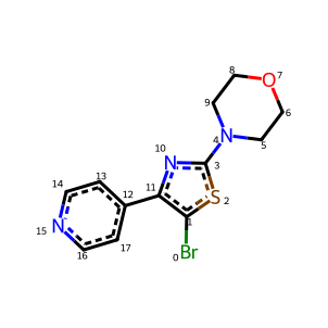 Brc1sc(N2CCOCC2)nc1-c1ccncc1